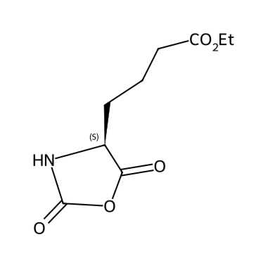 CCOC(=O)CCC[C@@H]1NC(=O)OC1=O